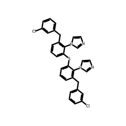 Clc1cccc(Cc2cccc(Sc3cccc(Cc4cccc(Cl)c4)c3-n3ccnc3)c2-n2ccnc2)c1